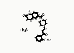 COc1ccccc1C(=O)CCN1CCN(C(=O)c2ccc3c(c2)CCC(=O)N3)CC1.Cl.O